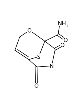 NC(=O)C12OCC=C(S1)C(=O)[N]C2=O